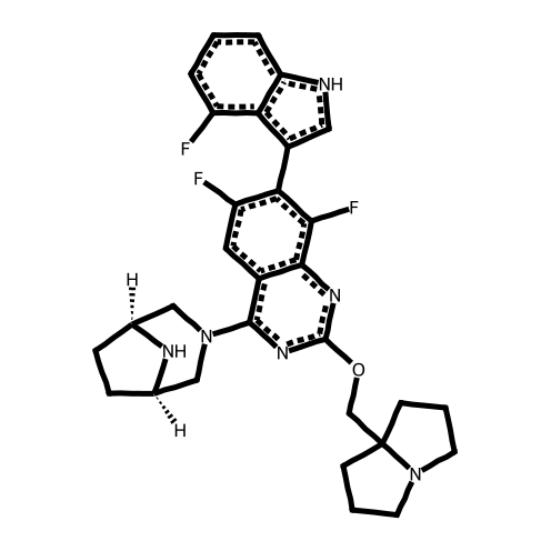 Fc1cc2c(N3C[C@H]4CC[C@@H](C3)N4)nc(OCC34CCCN3CCC4)nc2c(F)c1-c1c[nH]c2cccc(F)c12